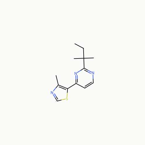 CCC(C)(C)c1nccc(-c2s[c]nc2C)n1